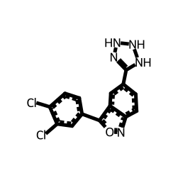 Clc1ccc(-c2onc3ccc(C4=NNNN4)cc23)cc1Cl